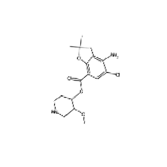 COC1CNCCC1OC(=O)c1cc(Cl)c(N)c2c1OC(C)(C)C2